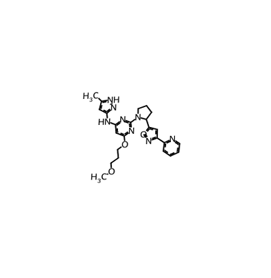 COCCCOc1cc(Nc2cc(C)[nH]n2)nc(N2CCCC2c2cc(-c3ccccn3)no2)n1